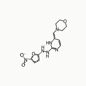 O=[N+]([O-])c1ccc(NNC2=NC=CC(=CN3CCOCC3)N2)o1